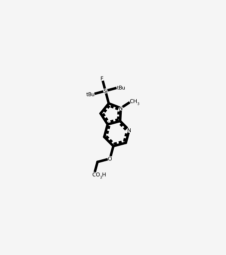 Cn1c([Si](F)(C(C)(C)C)C(C)(C)C)cc2cc(OCC(=O)O)cnc21